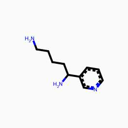 NCCCCC(N)c1cccnc1